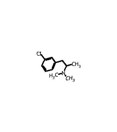 CC(Cc1cccc(Cl)c1)N(C)C